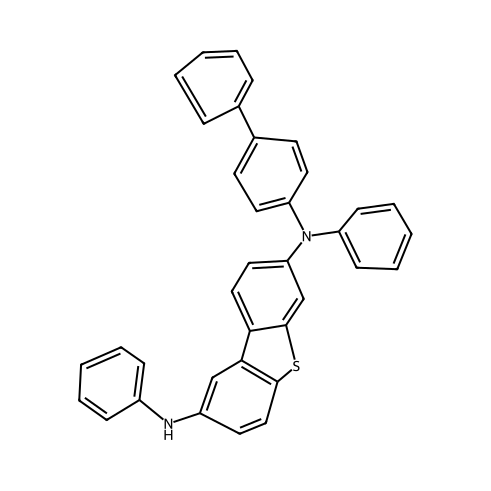 c1ccc(Nc2ccc3sc4cc(N(c5ccccc5)c5ccc(-c6ccccc6)cc5)ccc4c3c2)cc1